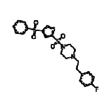 O=S(=O)(c1ccccc1)c1csc(S(=O)(=O)N2CCN(CCc3ccc(F)cc3)CC2)c1